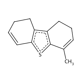 CC1=CCCc2c1sc1c2CCC=C1